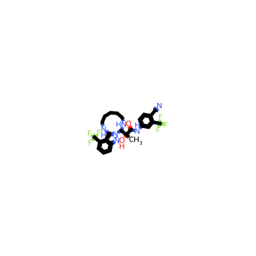 CC(O)(C(=O)Nc1ccc(C#N)c(C(F)(F)F)c1)C1NCCCCCNc2c3c(C(F)(F)F)cccc3nn21